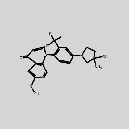 COc1ccc2c(c1)c(=O)ccn2-c1ccc(N2CCC(C)(C)C2)cc1C(F)(F)F